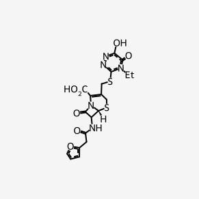 CCn1c(SCC2=C(C(=O)O)N3C(=O)C(NC(=O)Cc4ccco4)[C@H]3SC2)nnc(O)c1=O